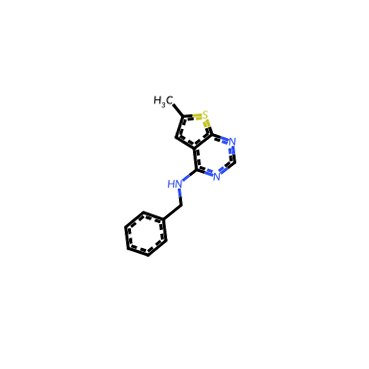 Cc1cc2c(NCc3ccccc3)ncnc2s1